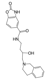 O=C(NCCC(O)CN1CCc2ccccc2C1)c1ccc2oc(=O)[nH]c2c1